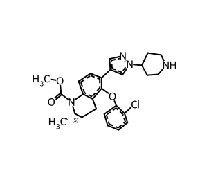 COC(=O)N1c2ccc(-c3cnn(C4CCNCC4)c3)c(Oc3ccccc3Cl)c2CC[C@@H]1C